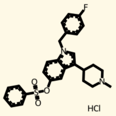 CN1CCC(c2cn(Cc3ccc(F)cc3)c3ccc(OS(=O)(=O)c4ccccc4)cc23)CC1.Cl